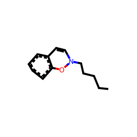 CCCCCN1C=Cc2ccccc2O1